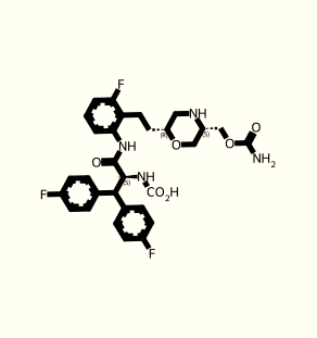 NC(=O)OC[C@@H]1CO[C@H](CCc2c(F)cccc2NC(=O)[C@@H](NC(=O)O)C(c2ccc(F)cc2)c2ccc(F)cc2)CN1